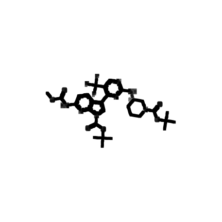 COC(=O)Nc1ccc2c(-c3nc(N[C@H]4CCCN(C(=O)OC(C)(C)C)C4)ncc3C(F)(F)F)cn(C(=O)OC(C)(C)C)c2n1